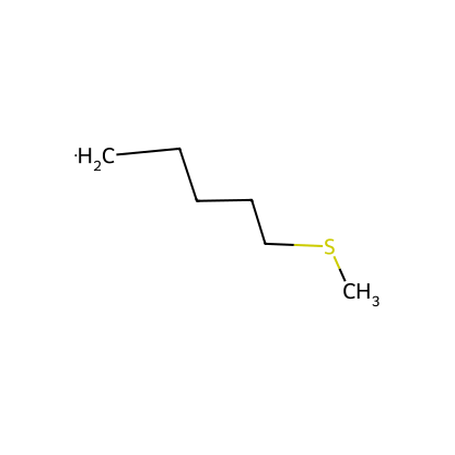 [CH2]CCCCSC